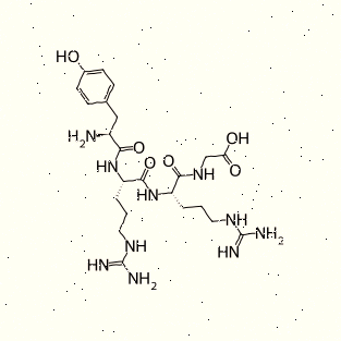 N=C(N)NCCC[C@H](NC(=O)[C@H](CCCNC(=N)N)NC(=O)[C@@H](N)Cc1ccc(O)cc1)C(=O)NCC(=O)O